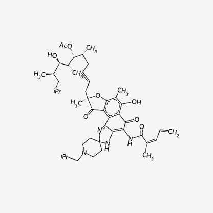 C=C/C=C(/C)C(=O)NC1=C2NC3(CCN(CC(C)C)CC3)N=C2c2c(c(O)c(C)c3c2C(=O)[C@@](C)(C/C=C/C[C@@H](C)[C@@H](OC(C)=O)[C@H](C)[C@H](O)[C@H](C)CC(C)C)O3)C1=O